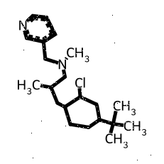 CC(CC1CCC(C(C)(C)C)CC1Cl)CN(C)Cc1cccnc1